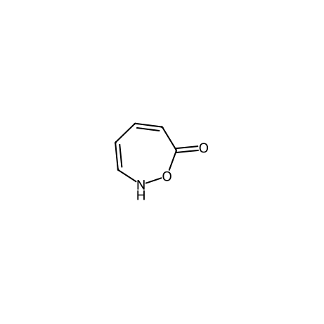 O=C1C=CC=CNO1